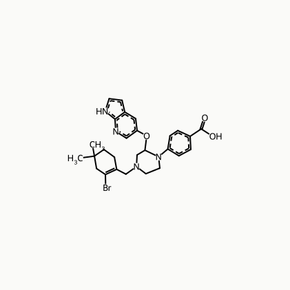 CC1(C)CCC(CN2CCN(c3ccc(C(=O)O)cc3)C(Oc3cnc4[nH]ccc4c3)C2)=C(Br)C1